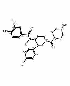 CC(=O)N1CCC(C(=O)N2CCC(N(C)C(=O)c3ccc(Cl)c(C(F)(F)F)c3)C(c3ccc(F)cc3)C2)CC1